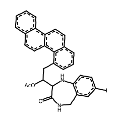 CC(=O)OC(Cc1cccc2ccc3c4ccccc4ccc3c12)C1Nc2ccc(I)cc2CNC1=O